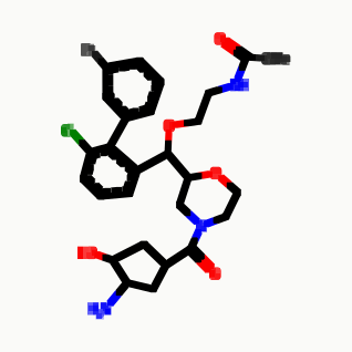 CCc1cccc(-c2c(Cl)cccc2C(OCCNC(=O)OC)C2CN(C(=O)C3CC(N)C(O)C3)CCO2)c1